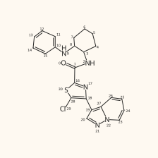 O=C(NC1CCCCC1Nc1ccccc1)c1nc(-c2cnn3ccccc23)c(Cl)s1